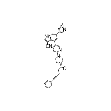 Cn1cc(-c2cc(-c3ccc(N4CCN(C(=O)CCC#Cc5ccccc5)CC4)nc3)c3c(C#N)cnn3c2)cn1